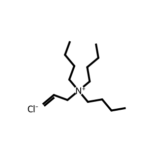 C=CC[N+](CCCC)(CCCC)CCCC.[Cl-]